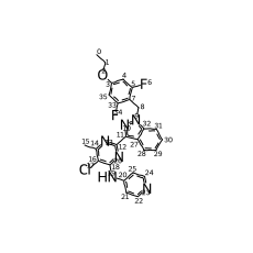 CCOc1cc(F)c(Cn2nc(-c3nc(C)c(Cl)c(Nc4ccncc4)n3)c3ccccc32)c(F)c1